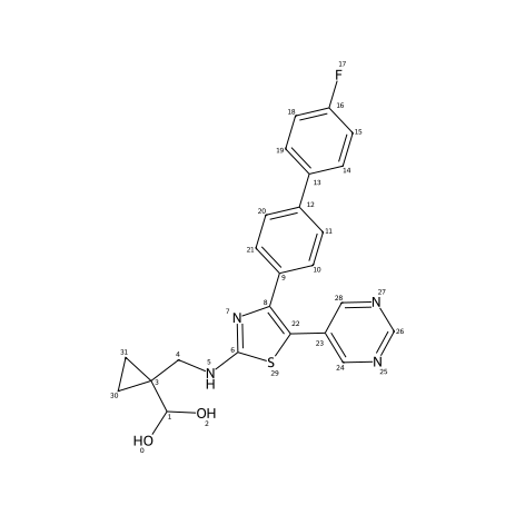 OC(O)C1(CNc2nc(-c3ccc(-c4ccc(F)cc4)cc3)c(-c3cncnc3)s2)CC1